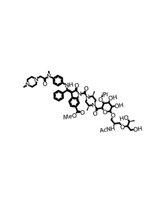 COC(=O)c1ccc2c(c1)N(C(=O)N1C[C@H](C)N(C(=O)C3OC(OC[C@@H](COC(CO)[C@H](C)O)NC(C)=O)C(O)C(O)C3OC(C)C)C[C@@H]1C)C(=O)/C2=C(\Nc1ccc(N(C)C(=O)CN2CCN(C)CC2)cc1)c1ccccc1